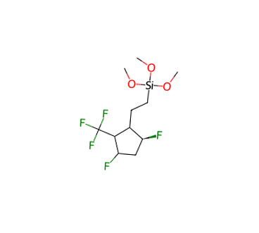 CO[Si](CCC1C(C(F)(F)F)C(F)C[C@@H]1F)(OC)OC